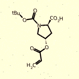 C=CC(=O)O[C@H]1C[C@H](C(=O)O)N(C(=O)OC(C)(C)C)C1